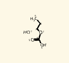 CCCOC(=O)O.Cl